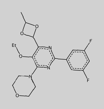 CCOc1c(C2OC(C)O2)nc(-c2cc(F)cc(F)c2)nc1N1CCOCC1